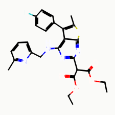 CCOC(=O)C(C(=O)OCC)c1nc(NCc2cccc(C)n2)c2c(-c3ccc(F)cc3)c(C)sc2n1